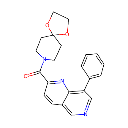 O=C(c1ccc2cncc(-c3ccccc3)c2n1)N1CCC2(CC1)OCCO2